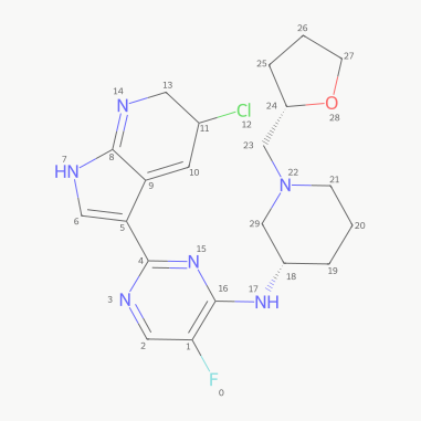 Fc1cnc(-c2c[nH]c3c2=CC(Cl)CN=3)nc1N[C@H]1CCCN(C[C@@H]2CCCO2)C1